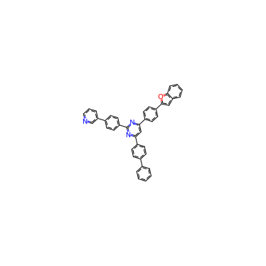 c1ccc(-c2ccc(-c3cc(-c4ccc(-c5cc6ccccc6o5)cc4)nc(-c4ccc(-c5cccnc5)cc4)n3)cc2)cc1